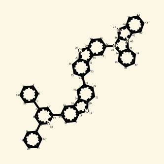 c1ccc(-c2cc(-c3ccccc3)nc(-c3ccc4oc5ccc(-c6ccc7oc8ccc(-n9c%10ccccc%10n%10c%11ccccc%11nc9%10)cc8c7c6)cc5c4c3)c2)cc1